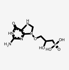 Nc1nc2c(c(=O)[nH]1)NCN2OCC(O)CP(=O)(O)O